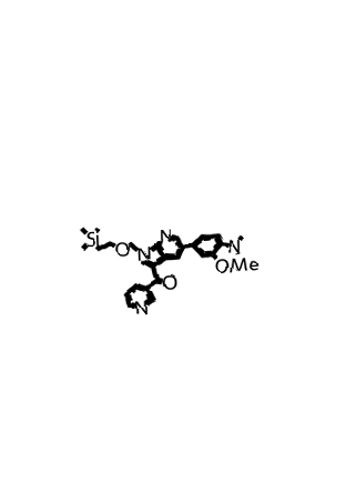 COc1cc(-c2cnc3c(c2)c(C(=O)c2cccnc2)cn3COCC[Si](C)(C)C)ccc1N(C)C